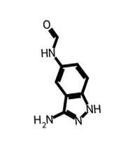 Nc1n[nH]c2ccc(NC=O)cc12